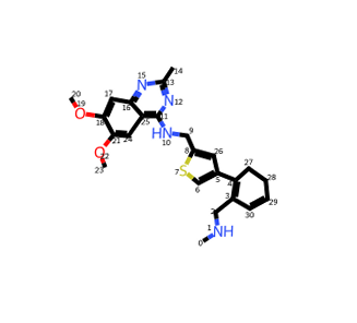 CNCC1=C(c2csc(CNc3nc(C)nc4cc(OC)c(OC)cc34)c2)CCC=C1